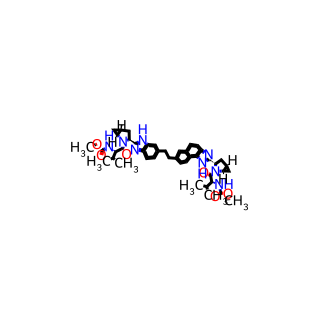 COC(=O)N[C@H](C(=O)N1[C@@H]2C[C@@H]2C[C@H]1c1nc2ccc(CCc3ccc4c(ccc5nc([C@@H]6C[C@H]7C[C@H]7N6C(=O)[C@@H](NC(=O)OC)C(C)C)[nH]c54)c3)cc2[nH]1)C(C)C